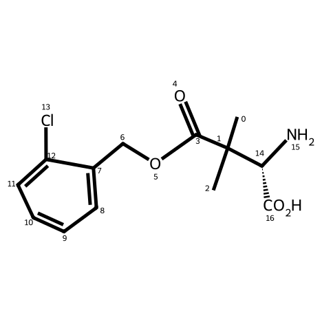 CC(C)(C(=O)OCc1ccccc1Cl)[C@H](N)C(=O)O